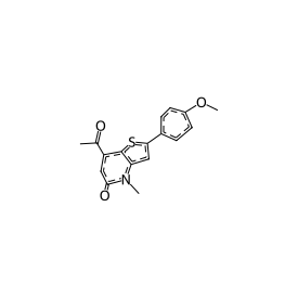 COc1ccc(-c2cc3c(s2)c(C(C)=O)cc(=O)n3C)cc1